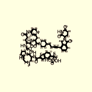 CN1CC[C@H]2CC[C@@H](C(=O)NC(CCC(N)=O)C(=O)NC(Cc3ccccn3)C(=O)N3CCC(CCC#Cc4cccc5c4CN(C4CCC(=O)NC4=O)C5=O)CC3)N2C(=O)[C@@H](NC(=O)c2cc3cc(C(F)(F)P(=O)(O)O)ccc3s2)C1